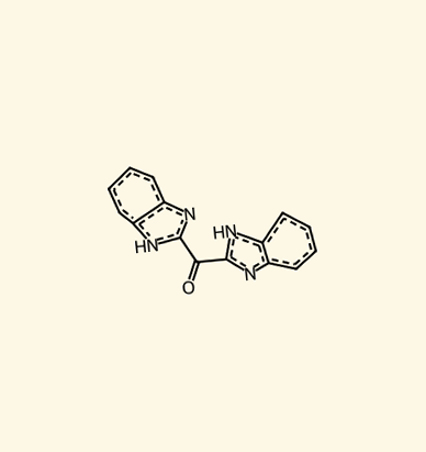 O=C(c1nc2ccccc2[nH]1)c1nc2ccccc2[nH]1